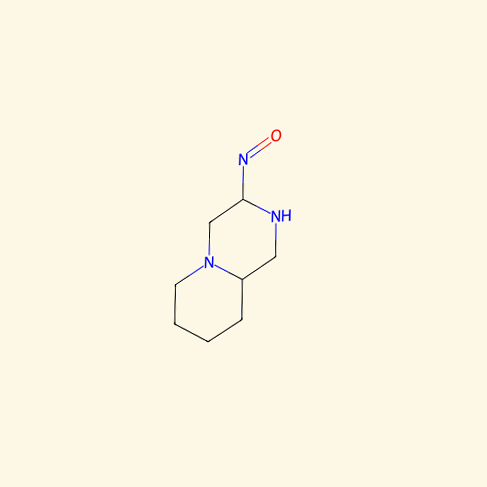 O=NC1CN2CCCCC2CN1